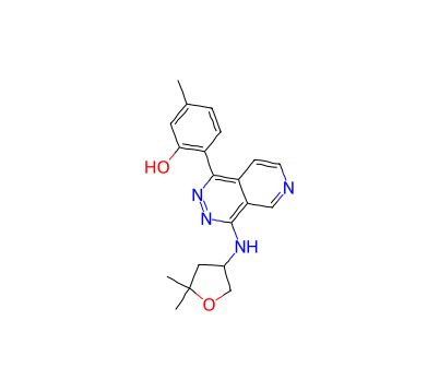 Cc1ccc(-c2nnc(NC3COC(C)(C)C3)c3cnccc23)c(O)c1